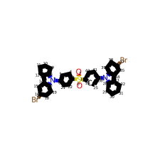 O=S(=O)(c1ccc(-n2c3ccccc3c3cc(Br)ccc32)cc1)c1ccc(-n2c3ccccc3c3cc(Br)ccc32)cc1